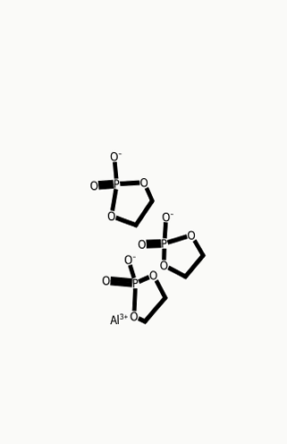 O=P1([O-])OCCO1.O=P1([O-])OCCO1.O=P1([O-])OCCO1.[Al+3]